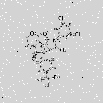 O=C1C2[C@]3(C(=O)N1c1cc(Cl)cc(Cl)c1)C1COCCN1C(=O)[C@]23c1ccc(C(F)(F)F)cc1